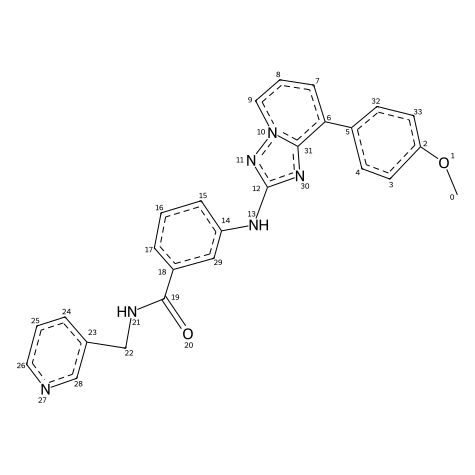 COc1ccc(-c2cccn3nc(Nc4cccc(C(=O)NCc5cccnc5)c4)nc23)cc1